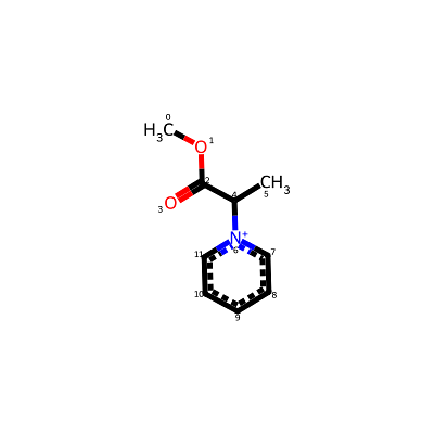 COC(=O)C(C)[n+]1ccccc1